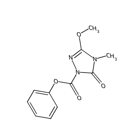 COc1nn(C(=O)Oc2ccccc2)c(=O)n1C